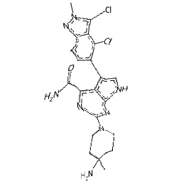 Cn1nc2ccc(-c3c[nH]c4nc(N5CCC(C)(N)CC5)nc(C(N)=O)c34)c(Cl)c2c1Cl